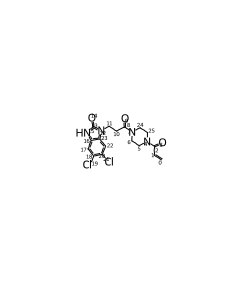 C=CC(=O)N1CCN(C(=O)CCn2c(=O)[nH]c3cc(Cl)c(Cl)cc32)CC1